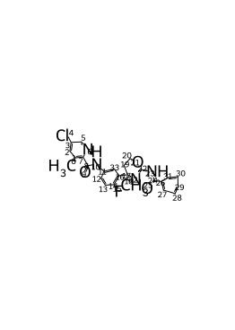 Cc1cc(Cl)cnc1C(=O)Nc1ccc(F)c([C@]2(C)CCOC(NC(=O)c3ccccc3)=N2)c1